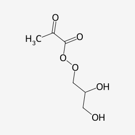 CC(=O)C(=O)OOCC(O)CO